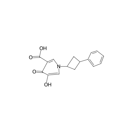 O=C(O)c1cn(C2CC(c3ccccc3)C2)cc(O)c1=O